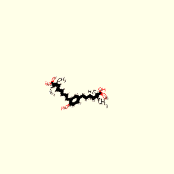 CC(C)(CCCCCCc1cc(CCCCC(C)(C)C(=O)O)ccc1O)C(=O)O